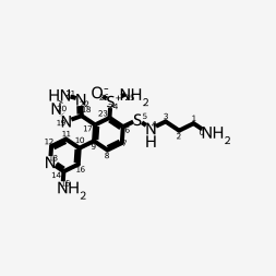 NCCCNSc1ccc(-c2ccnc(N)c2)c(-c2nn[nH]n2)c1[S+](N)[O-]